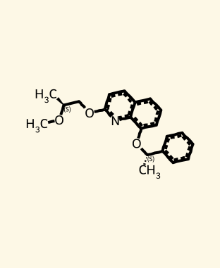 CO[C@@H](C)COc1ccc2cccc(O[C@@H](C)c3ccccc3)c2n1